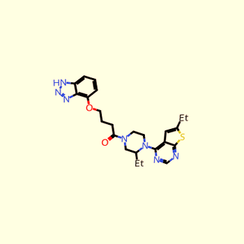 CCc1cc2c(N3CCN(C(=O)CCCOc4cccc5[nH]nnc45)CC3CC)ncnc2s1